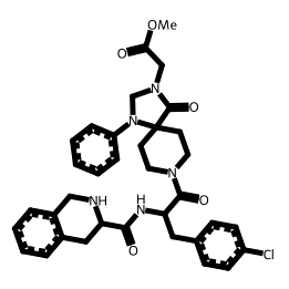 COC(=O)CN1CN(c2ccccc2)C2(CCN(C(=O)C(Cc3ccc(Cl)cc3)NC(=O)C3Cc4ccccc4CN3)CC2)C1=O